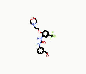 O=Cc1cccc(NC(=O)Nc2cc(C(F)(F)F)ccc2OCCN2CCOCC2)c1